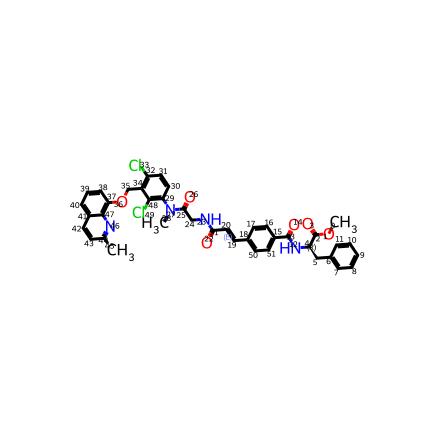 COC(=O)[C@@H](Cc1ccccc1)NC(=O)c1ccc(/C=C/C(=O)NCC(=O)N(C)c2ccc(Cl)c(COc3cccc4ccc(C)nc34)c2Cl)cc1